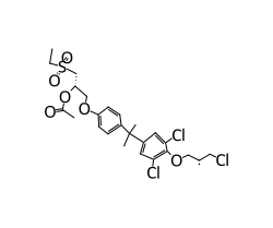 CCS(=O)(=O)C[C@H](COc1ccc(C(C)(C)c2cc(Cl)c(OC[CH]CCl)c(Cl)c2)cc1)OC(C)=O